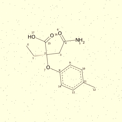 CC[C@](CC(N)=O)(Oc1ccc(C)cc1)C(=O)O